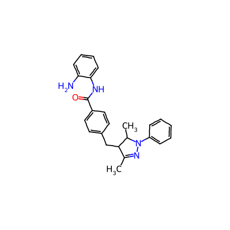 CC1=NN(c2ccccc2)C(C)C1Cc1ccc(C(=O)Nc2ccccc2N)cc1